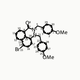 COc1ccc(CN2C(=O)c3cccc4c(Br)ccc(c34)N2Cc2ccc(OC)cc2)cc1